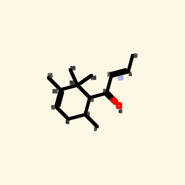 C/C=C/C(=O)C1C(C)CC=C(C)C1(C)C